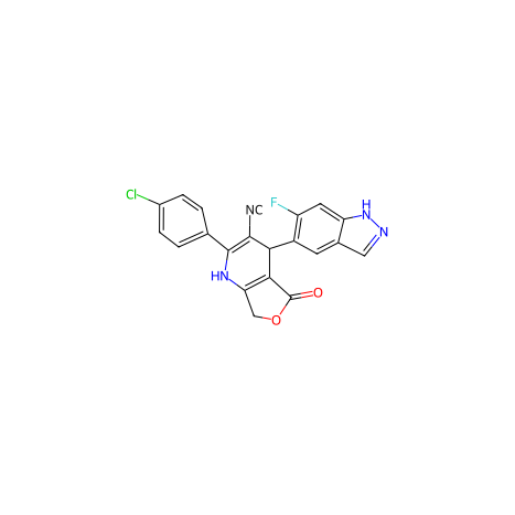 [C-]#[N+]C1=C(c2ccc(Cl)cc2)NC2=C(C(=O)OC2)C1c1cc2cn[nH]c2cc1F